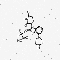 O=C(O)C(F)(F)F.O=C1CCC(n2c(=O)oc3c(N4CCNCC4)cccc32)C(=O)N1